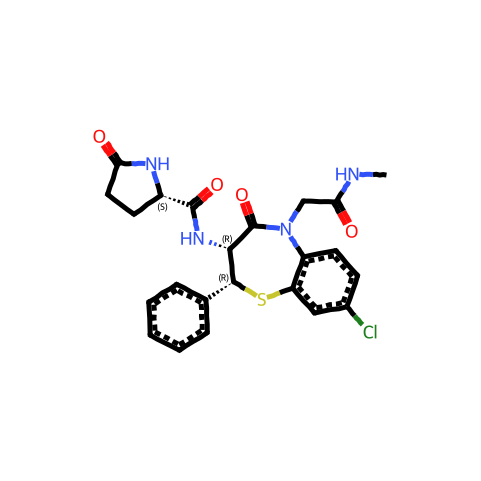 CNC(=O)CN1C(=O)[C@@H](NC(=O)[C@@H]2CCC(=O)N2)[C@@H](c2ccccc2)Sc2cc(Cl)ccc21